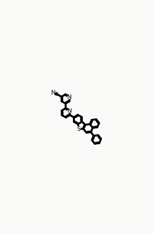 N#Cc1cncc(-c2cccc(-c3ccc4c(c3)sc3cc(-c5ccccc5)c5ccccc5c34)n2)c1